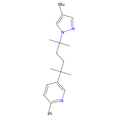 CC(C)c1ccc(C(C)(C)CCC(C)(C)n2cc(C(C)(C)C)cn2)cn1